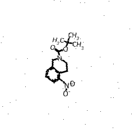 CC(C)(C)OC(=O)N1CCc2c(cccc2[N+](=O)[O-])C1